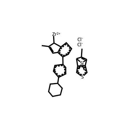 CC1=C2c3cscc3C1[Si]2(C)C.CC1=Cc2c(-c3ccc(C4CCCCC4)cc3)cccc2[CH]1[Zr+2].[Cl-].[Cl-]